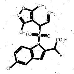 C=CC(c1c(C)noc1C)S(=O)(=O)n1c(C(CC)C(=O)O)cc2cc(Cl)ccc21